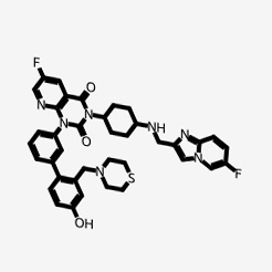 O=c1c2cc(F)cnc2n(-c2cccc(-c3ccc(O)cc3CN3CCSCC3)c2)c(=O)n1C1CCC(NCc2cn3cc(F)ccc3n2)CC1